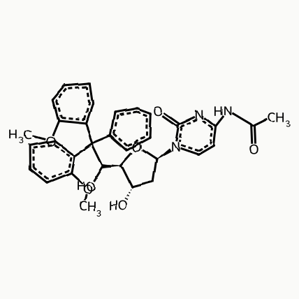 COc1ccccc1C(c1ccccc1)(c1ccccc1OC)C(O)[C@H]1O[C@@H](n2ccc(NC(C)=O)nc2=O)C[C@@H]1O